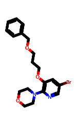 Brc1cnc(N2CCOCC2)c(OCCCOCc2ccccc2)c1